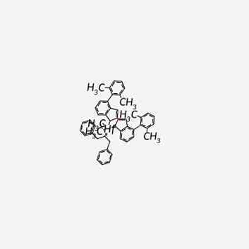 Cc1cccc(C)c1-c1cccc2c1C=C[CH]2[Hf]([CH3])([CH3])(=[C](Cc1ccccc1)Cc1ccccc1)[CH]1C=Cc2c(-c3c(C)cccc3C)cccc21